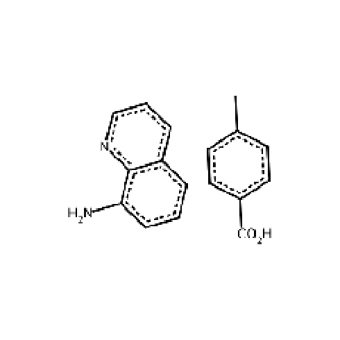 Cc1ccc(C(=O)O)cc1.Nc1cccc2cccnc12